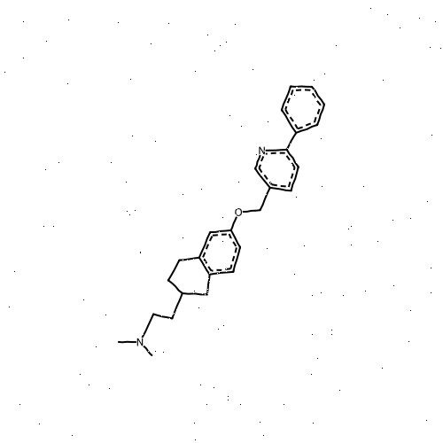 CN(C)CCC1CCc2cc(OCc3ccc(-c4ccccc4)nc3)ccc2C1